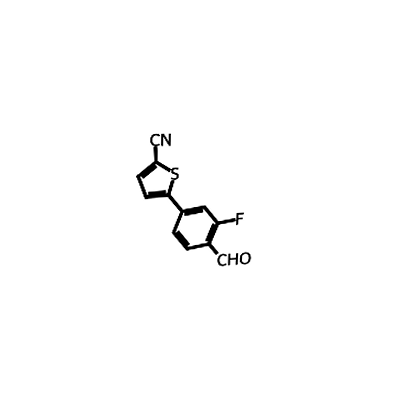 N#Cc1ccc(-c2ccc(C=O)c(F)c2)s1